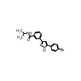 CC(C)NC(=O)c1cccc(-c2cc(-c3ccc(Br)cc3)[nH]n2)c1